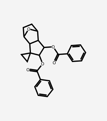 O=C(OC1C2C3CCC(O3)C2C2(CC2)C1OC(=O)c1ccccc1)c1ccccc1